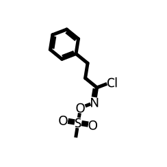 CS(=O)(=O)O/N=C(/Cl)CCc1ccccc1